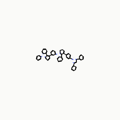 C1=C(c2ccc(-c3nc(-c4ccccc4)cc(-c4ccccc4)n3)cc2)c2c(n(-c3cccc(-c4cccc5c4c4ccccc4n5-c4ccccc4)c3)c3ccccc23)CC1